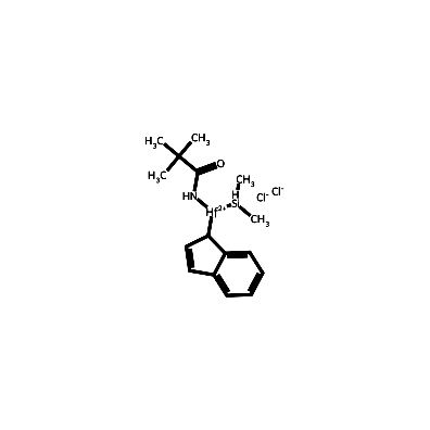 C[SiH](C)[Hf+2]([NH]C(=O)C(C)(C)C)[CH]1C=Cc2ccccc21.[Cl-].[Cl-]